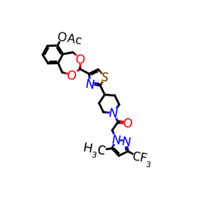 CC(=O)Oc1cccc2c1COC(c1csc(C3CCN(C(=O)Cn4nc(C(F)(F)F)cc4C)CC3)n1)OC2